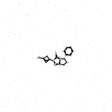 O=c1n(C23CC(Cl)(C2)C3)nc2n1[C@H](c1ccccc1)CC2